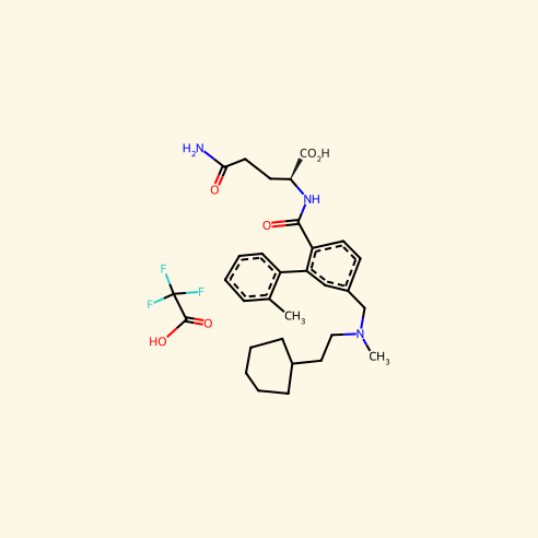 Cc1ccccc1-c1cc(CN(C)CCC2CCCCC2)ccc1C(=O)N[C@@H](CCC(N)=O)C(=O)O.O=C(O)C(F)(F)F